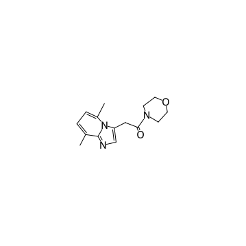 Cc1ccc(C)n2c(CC(=O)N3CCOCC3)cnc12